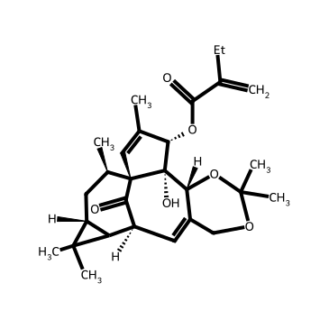 C=C(CC)C(=O)O[C@H]1C(C)=C[C@]23C(=O)[C@@H](C=C4COC(C)(C)O[C@H]4[C@]12O)C1[C@@H](C[C@H]3C)C1(C)C